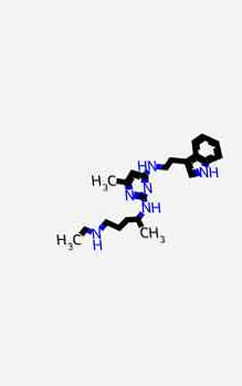 CCNCCCC(C)Nc1nc(C)cc(NCCc2c[nH]c3ccccc23)n1